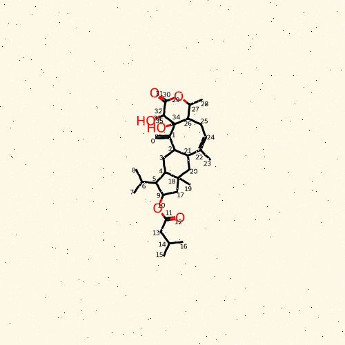 C=C1C2CC3C(C(C)C)C(OC(=O)CC(C)C)CC3(C)CC2C(C)=CCC2C(C)OC(=O)C(O)C12O